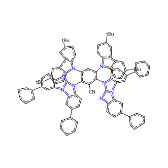 CC(C)(C)c1ccc2c(c1)c1cc(C(C)(C)C)ccc1n2-c1cc(-n2c3ccc(C(C)(C)C)cc3c3cc(C(C)(C)C)ccc32)c(-n2c3ccc(-c4ccccc4)cc3n3c4cc(-c5ccccc5)ccc4nc23)c(C#N)c1-n1c2ccc(-c3ccccc3)cc2n2c3cc(-c4ccccc4)ccc3nc12